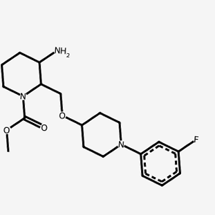 COC(=O)N1CCCC(N)C1COC1CCN(c2cccc(F)c2)CC1